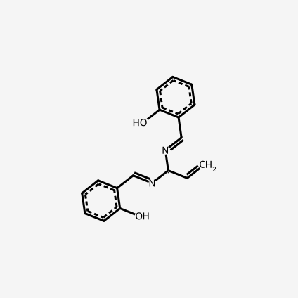 C=C[C](N=Cc1ccccc1O)N=Cc1ccccc1O